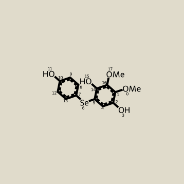 COc1c(O)cc([Se]c2ccc(O)cc2)c(O)c1OC